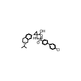 CC(C)N1CCc2ccc([C@@H]3C[C@]3(NS(=O)(=O)c3ccc(-c4ccc(Cl)cc4)cc3)C(=O)O)cc2C1